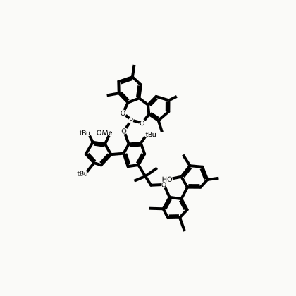 COc1c(-c2cc(C(C)(C)COc3c(C)cc(C)cc3-c3cc(C)cc(C)c3O)cc(C(C)(C)C)c2Op2oc3c(C)cc(C)cc3c3cc(C)cc(C)c3o2)cc(C(C)(C)C)cc1C(C)(C)C